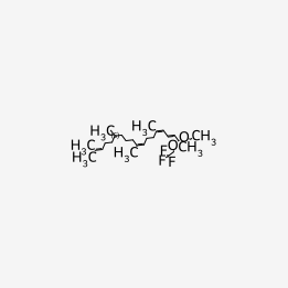 CCOC(C)(C=CC=C(C)CCC=C(C)CCC[C@H](C)CCC=C(C)C)OCC(F)(F)F